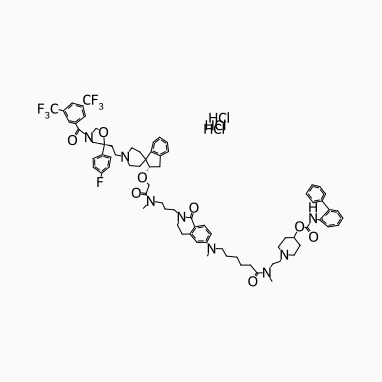 CN(CCN1CCC(OC(=O)Nc2ccccc2-c2ccccc2)CC1)C(=O)CCCCCN(C)c1ccc2c(c1)CCN(CCCN(C)C(=O)CO[C@H]1Cc3ccccc3C13CCN(CC[C@@]1(c4ccc(F)cc4)CN(C(=O)c4cc(C(F)(F)F)cc(C(F)(F)F)c4)CO1)CC3)C2=O.Cl.Cl.Cl